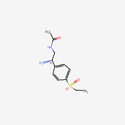 CCS(=O)(=O)c1ccc([C@@H](N)CNC(C)=O)cc1